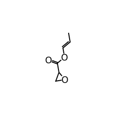 CC=COC(=O)C1CO1